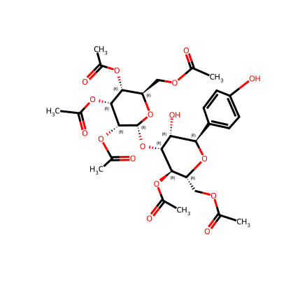 CC(=O)OC[C@H]1O[C@H](O[C@@H]2[C@H](O)[C@@H](c3ccc(O)cc3)O[C@H](COC(C)=O)[C@H]2OC(C)=O)[C@H](OC(C)=O)[C@H](OC(C)=O)[C@@H]1OC(C)=O